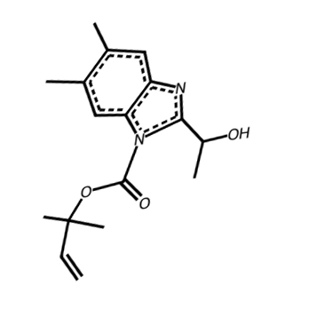 C=CC(C)(C)OC(=O)n1c(C(C)O)nc2cc(C)c(C)cc21